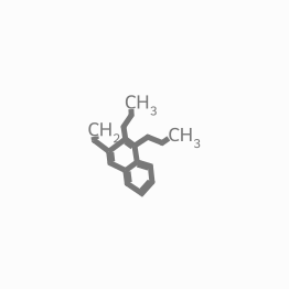 C=Cc1cc2ccccc2c(CCC)c1CCC